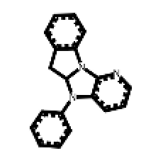 c1ccc(N2c3cccnc3N3c4ccccc4CC23)cc1